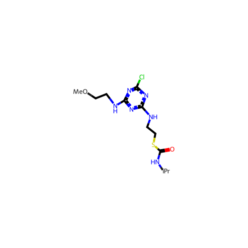 COCCNc1nc(Cl)nc(NCCSC(=O)NC(C)C)n1